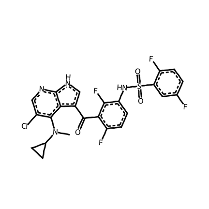 CN(c1c(Cl)cnc2[nH]cc(C(=O)c3c(F)ccc(NS(=O)(=O)c4cc(F)ccc4F)c3F)c12)C1CC1